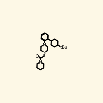 CC(C)(C)C1CCC(c2ccccc2N2CCN(CC(=O)N3CCCCC3)CC2)CC1